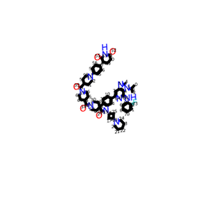 CC(C)n1cnc2cc(-c3ccc4c(c3)N(C3CC(N5CCCCC5)C3)C(=O)C43CCN(C(=O)C4CCN(C(=O)C5CCN(c6ccc([C@H]7CCC(=O)NC7=O)cc6)CC5)CC4)CC3)nc(Nc3ccccc3F)c21